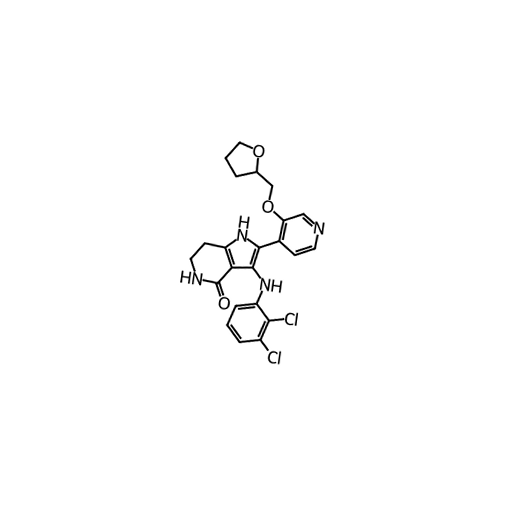 O=C1NCCc2[nH]c(-c3ccncc3OCC3CCCO3)c(Nc3cccc(Cl)c3Cl)c21